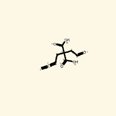 C=C=CCC(CC=O)(C(=O)O)C(=O)O